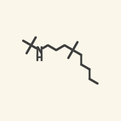 CCCCCC(C)(C)CCCNC(C)(C)C